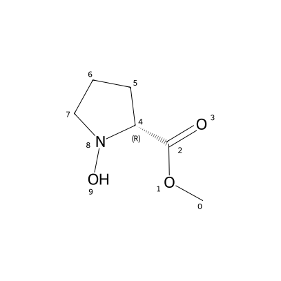 COC(=O)[C@H]1CCCN1O